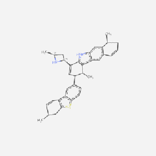 CC1C=Cc2c(sc3ccc(C4C=C([C@@H]5C[C@H](C)N5)c5[nH]c6cc7c(cc6c5C4C)C=CCC7C)cc23)C1